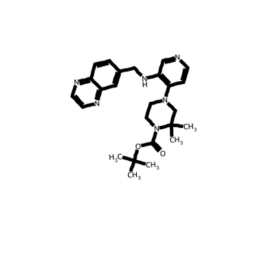 CC(C)(C)OC(=O)N1CCN(c2ccncc2NCc2ccc3nccnc3c2)CC1(C)C